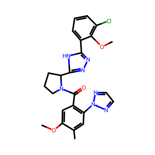 COc1cc(C(=O)N2CCCC2c2nnc(-c3cccc(Cl)c3OC)[nH]2)c(-n2nccn2)cc1C